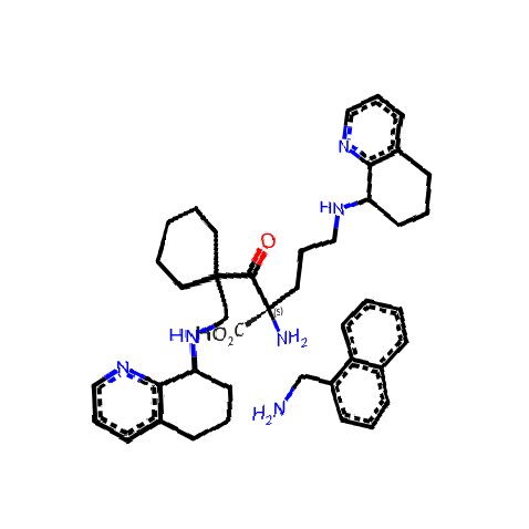 NCc1cccc2ccccc12.N[C@](CCCNC1CCCc2cccnc21)(C(=O)O)C(=O)C1(CNC2CCCc3cccnc32)CCCCC1